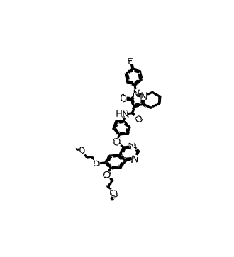 COCCOc1cc2ncnc(Oc3ccc(NC(=O)c4c5n(n(-c6ccc(F)cc6)c4=O)CCCC5)cc3)c2cc1OCCOC